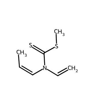 C=CN(/C=C\C)C(=S)SC